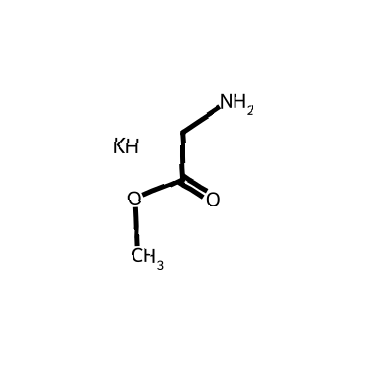 COC(=O)CN.[KH]